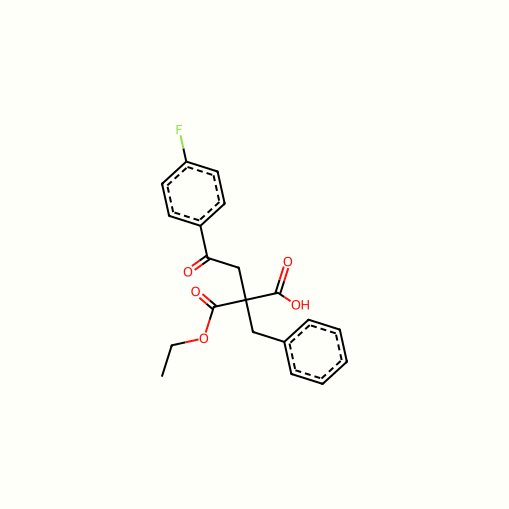 CCOC(=O)C(CC(=O)c1ccc(F)cc1)(Cc1ccccc1)C(=O)O